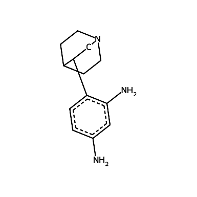 Nc1ccc(C2CN3CCC2CC3)c(N)c1